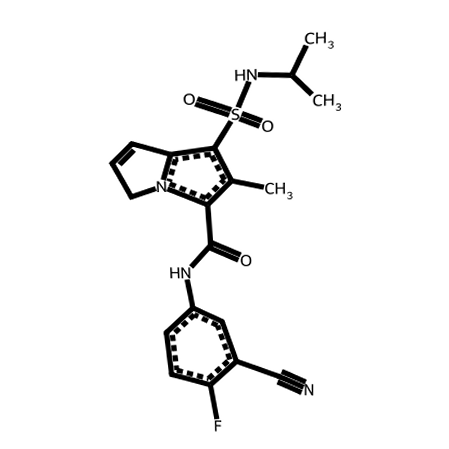 Cc1c(S(=O)(=O)NC(C)C)c2n(c1C(=O)Nc1ccc(F)c(C#N)c1)CC=C2